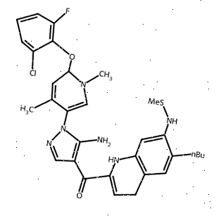 CCCCc1cc2c(cc1NSC)NC(C(=O)c1cnn(C3=CN(C)C(Oc4c(F)cccc4Cl)C=C3C)c1N)=CC2